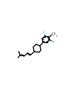 CC(C)=C/C=C/C1CCC(c2cc(F)c(C(F)(F)F)c(F)c2)CC1